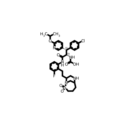 CC(C)Oc1ccc([C@H](c2ccc(Cl)cc2)[C@H](NC(=O)O)C(=O)Nc2cccc(F)c2CCC2CNC3CCCS(=O)(=O)N2C3)cn1